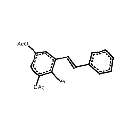 CC(=O)Oc1cc(C=Cc2ccccc2)c(C(C)C)c(OC(C)=O)c1